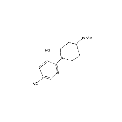 CNC1CCN(c2ccc(C#N)cn2)CC1.Cl